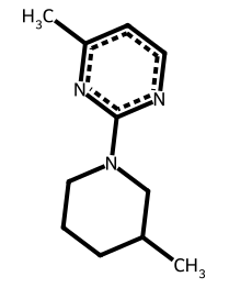 Cc1ccnc(N2CCCC(C)C2)n1